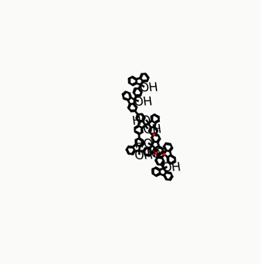 OC1(c2ccc(C3(O)c4ccccc4-c4ccc(-c5ccc6c(c5)-c5ccc(-c7ccc8c(c7)-c7ccccc7C8(O)c7ccc(Oc8ccc(C9(O)c%10ccccc%10-c%10ccccc%109)cc8C8(O)c9ccccc9-c9ccccc98)c(C8(O)c9ccccc9-c9ccccc98)c7)cc5C6(O)C5(O)c6ccccc6-c6ccccc65)cc43)cc2)c2ccccc2-c2ccccc21